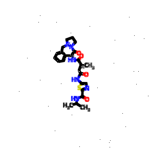 CC(C)NC(=O)c1ncc(NC(=O)C[C@@H](C)C(=O)N[C@@H]2C(=O)N3CCCN3Cc3ccccc32)s1